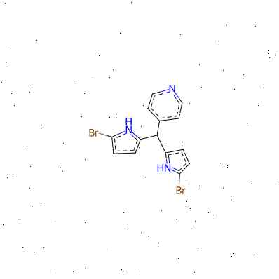 Brc1ccc(C(c2ccncc2)c2ccc(Br)[nH]2)[nH]1